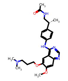 COc1cc2ncnc(Nc3ccc([C@@H](C)CNC(C)=O)cc3)c2cc1OCCCN(C)C